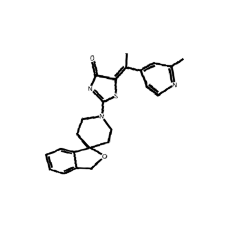 C/C(=C1/SC(N2CCC3(CC2)OCc2ccccc23)=NC1=O)c1ccnc(C)c1